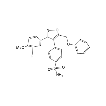 COc1ccc(-c2noc(COc3ccccc3)c2-c2ccc(S(N)(=O)=O)cc2)cc1F